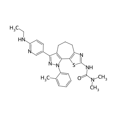 CCNc1ccc(-c2nn(-c3ccccc3C)c3c2CCCc2nc(NC(=O)N(C)C)sc2-3)cn1